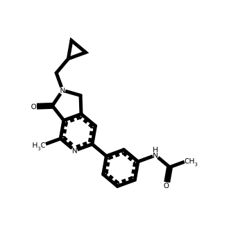 CC(=O)Nc1cccc(-c2cc3c(c(C)n2)C(=O)N(CC2CC2)C3)c1